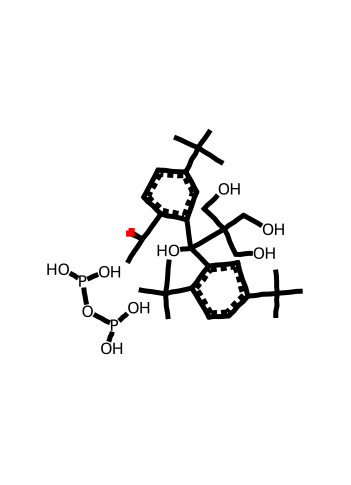 CC(C)(C)c1ccc(C(C)(C)C)c(C(O)(c2cc(C(C)(C)C)ccc2C(C)(C)C)C(CO)(CO)CO)c1.OP(O)OP(O)O